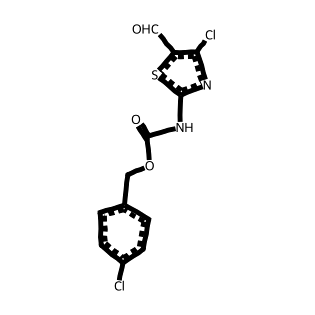 O=Cc1sc(NC(=O)OCc2ccc(Cl)cc2)nc1Cl